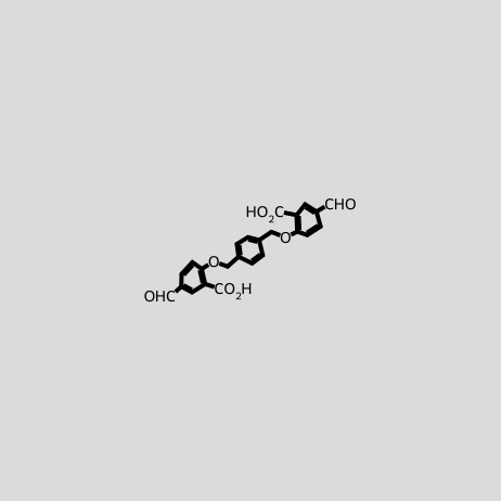 O=Cc1ccc(OCc2ccc(COc3ccc(C=O)cc3C(=O)O)cc2)c(C(=O)O)c1